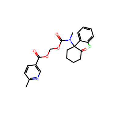 Cc1ccc(C(=O)OCOC(=O)N(C)C2(c3ccccc3Cl)CCCCC2=O)cn1